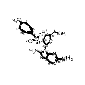 Cc1ccc(S(=O)(=O)O[C@@H]2[C@H](O)[C@@H](CO)O[C@H]2n2c(N)nc3cnc(N)nc32)cc1